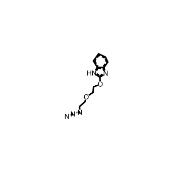 [N-]=[N+]=NCCOCCOc1nc2ccccc2[nH]1